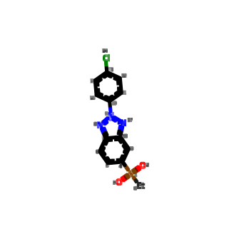 CCS(=O)(=O)c1ccc2nn(-c3ccc(Cl)cc3)nc2c1